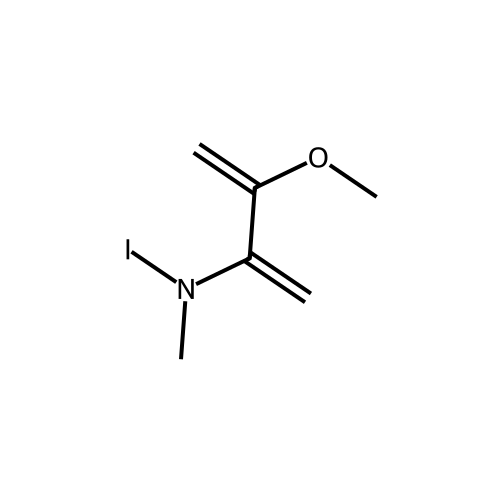 C=C(OC)C(=C)N(C)I